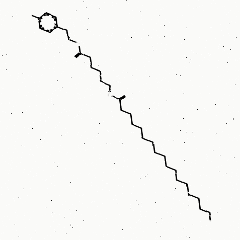 CCCCCCCCCCCCCCCCCC(=O)NCCCCCC(=O)NCCc1ccc(O)cc1